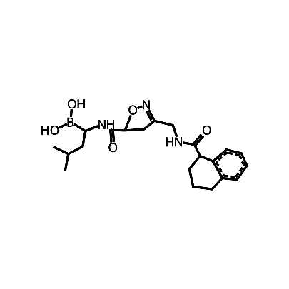 CC(C)CC(NC(=O)C1CC(CNC(=O)C2CCCc3ccccc32)=NO1)B(O)O